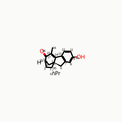 CCC[C@@H]1C[C@@H]2C[C@@]13Cc1cc(O)ccc1C3=C(C)C2=O